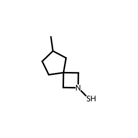 CC1CCC2(C1)CN(S)C2